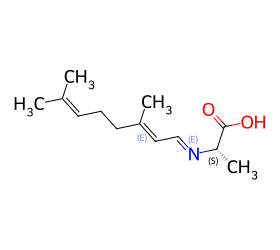 CC(C)=CCC/C(C)=C/C=N/[C@@H](C)C(=O)O